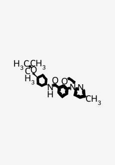 Cc1ccc(N2CCOc3c(C(=O)N[C@H]4CC[C@H](COC(C)(C)C)CC4)cccc32)nc1